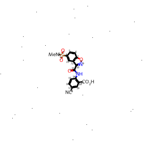 CNS(=O)(=O)c1ccc2onc(C(=O)Nc3ccc(C#N)cc3C(=O)O)c2c1